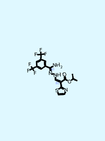 CC(C)OC(=O)/C(=C\N/N=C(\N)c1cc(C(F)(F)F)cc(C(F)(F)F)c1)c1nccs1